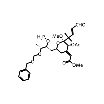 COC(=O)/C=C1\C[C@@H](C[C@@H](OP)[C@@H](C)OCOCc2ccccc2)O[C@@](OC)(C(C)(C)/C=C/C=O)[C@H]1OC(C)=O